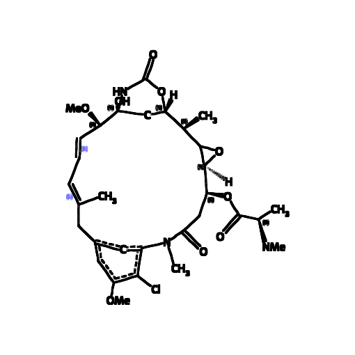 CN[C@H](C)C(=O)O[C@H]1CC(=O)N(C)c2cc(cc(OC)c2Cl)C/C(C)=C/C=C/[C@@H](OC)[C@@]2(O)C[C@H](OC(=O)N2)[C@@H](C)C2O[C@H]21